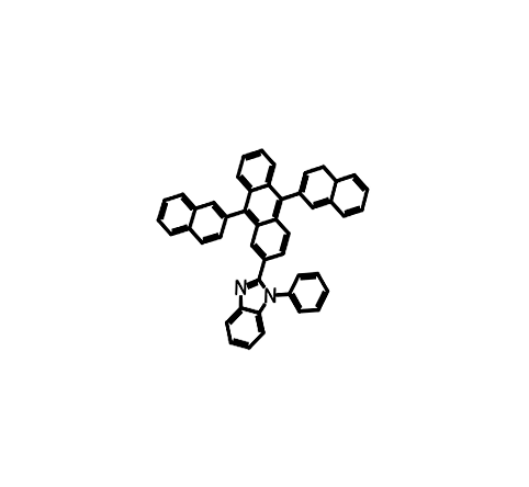 C1=CC2=CC(c3c4ccccc4c(-c4ccc5ccccc5c4)c4cc(-c5nc6ccccc6n5-c5ccccc5)ccc34)=CCC2C=C1